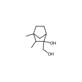 CC1C2(C)CCC(C2)C1(O)CO